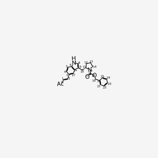 CC(=O)C=Cc1ccc2[nH]cc(C[C@H]3CCCN3C(=O)OCc3ccccc3)c2c1